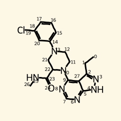 CCc1n[nH]c2ncnc(N3CCN(c4cccc(Cl)c4)CC3C(=O)NC)c12